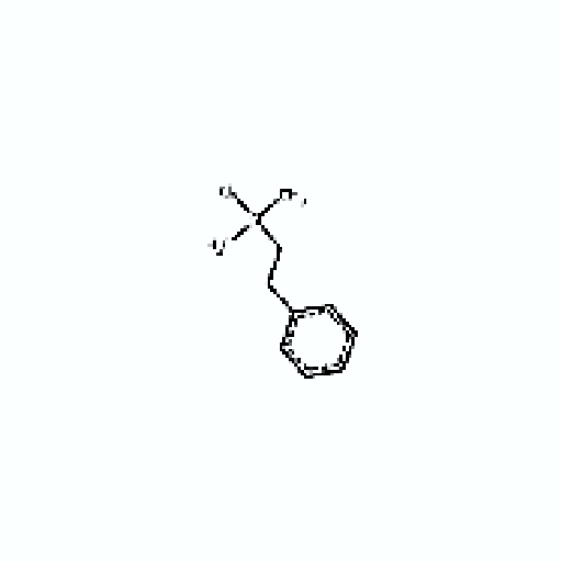 C[Si](C)(Cl)CCc1ccccc1